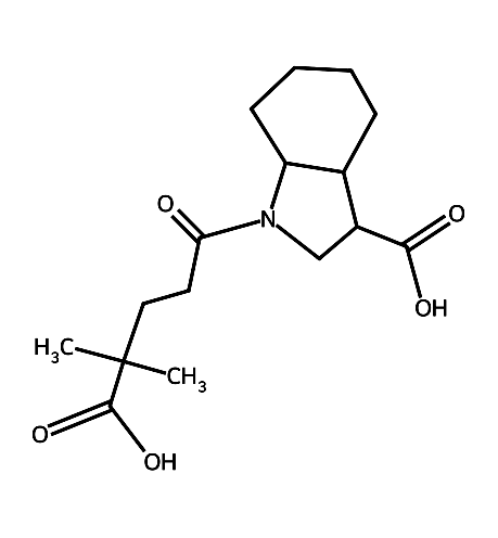 CC(C)(CCC(=O)N1CC(C(=O)O)C2CCCCC21)C(=O)O